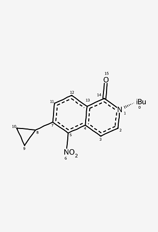 CC[C@@H](C)n1ccc2c([N+](=O)[O-])c(C3CC3)ccc2c1=O